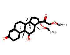 CCCCCOCC(=O)[C@@]1(OCSC)CC[C@H]2[C@@H]3CCC4=CC(=O)CC[C@]4(C)[C@H]3C(O)C[C@@]21C